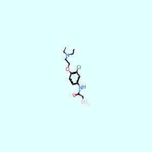 BCC(=O)Nc1ccc(OCCN(CC)CC)c(Cl)c1